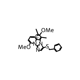 COC1=CC=CC23CC(C)=C(OC)C(C)=C2n2c(SCc4ccccc4)cnc2N13